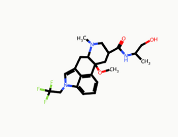 COC12CC(C(=O)NC(C)CO)CN(C)C1Cc1cn(CC(F)(F)F)c3cccc2c13